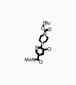 CNC(=O)c1cnc(N2CCN(C(=O)OC(C)(C)C)CC2)c(Cl)c1